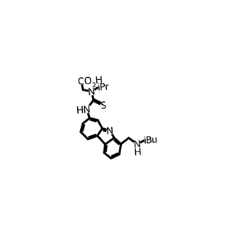 CCC(C)NCc1cccc2c3cccc(NC(=S)N(CC(=O)O)C(C)C)cc-3nc12